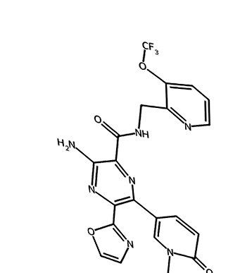 Cn1cc(-c2nc(C(=O)NCc3ncccc3OC(F)(F)F)c(N)nc2-c2ncco2)ccc1=O